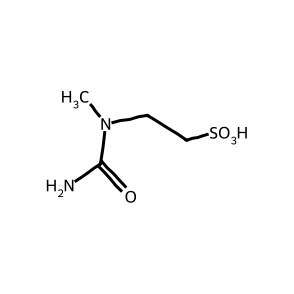 CN(CCS(=O)(=O)O)C(N)=O